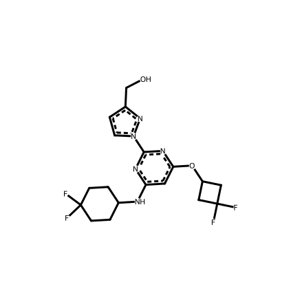 OCc1ccn(-c2nc(NC3CCC(F)(F)CC3)cc(OC3CC(F)(F)C3)n2)n1